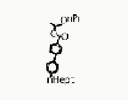 CCCCCCCc1ccc(-c2ccc(C(=O)OC(C)COCCC)cc2)cc1